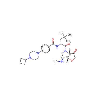 CN[C@H]1CN(C(=O)C(CC(C)(C)C)NC(=O)c2ccc(N3CCN(C4CCC4)CC3)cc2)[C@@H]2C(=O)CO[C@H]12